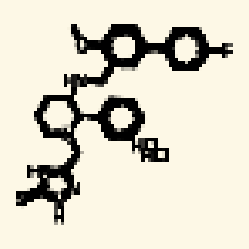 COc1ccc(-c2ccc(F)cc2)cc1CN[C@H]1CCCN(Cc2n[nH]c(=S)[nH]2)[C@H]1c1ccccc1.Cl.Cl